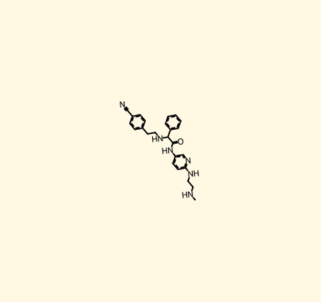 CNCCNc1ccc(NC(=O)C(NCCc2ccc(C#N)cc2)c2ccccc2)cn1